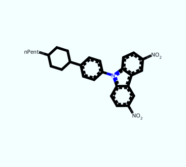 CCCCCC1CCC(c2ccc(-n3c4ccc([N+](=O)[O-])cc4c4cc([N+](=O)[O-])ccc43)cc2)CC1